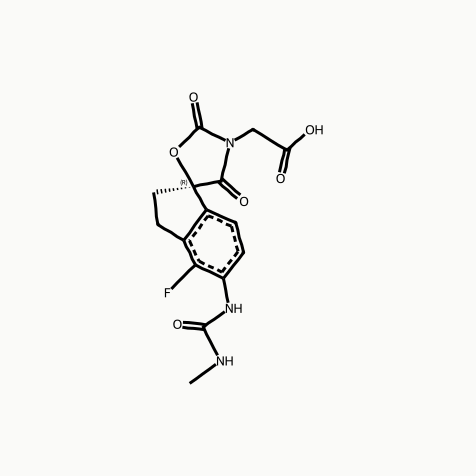 CNC(=O)Nc1ccc2c(c1F)CC[C@@]21OC(=O)N(CC(=O)O)C1=O